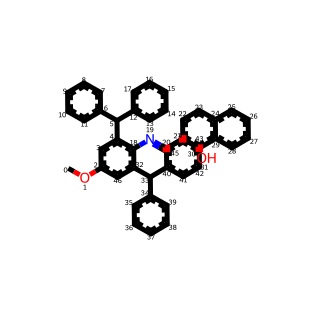 COc1cc(C(c2ccccc2)c2ccccc2)c(N=Cc2ccc3ccccc3c2O)c(C(c2ccccc2)c2ccccc2)c1